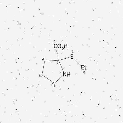 CCS[C@]1(C(=O)O)CCCN1